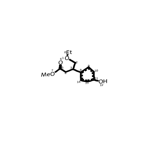 CCOCC(CC(=O)OC)c1ccc(O)cc1